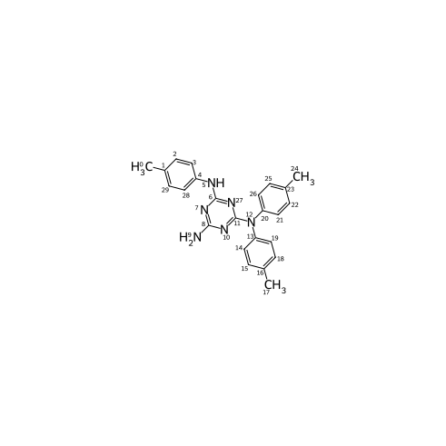 Cc1ccc(Nc2nc(N)nc(N(c3ccc(C)cc3)c3ccc(C)cc3)n2)cc1